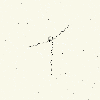 CCCCCCCCCCCCCc1n(CCCCCCCCC)cc[n+]1CCCCCCCC